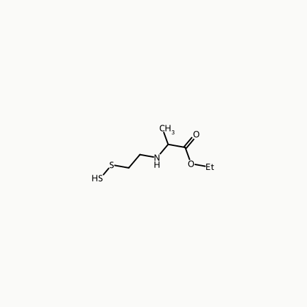 CCOC(=O)C(C)NCCSS